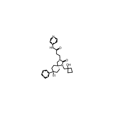 CC[C@]1(c2ccccc2)CC[C@]2(CC1)CN(CCC(=O)Nc1ccncc1)C(=O)N2CC1(O)CCC1